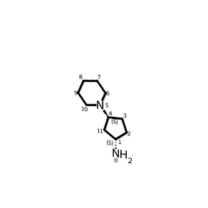 N[C@H]1CC[C@H](N2CCCCC2)C1